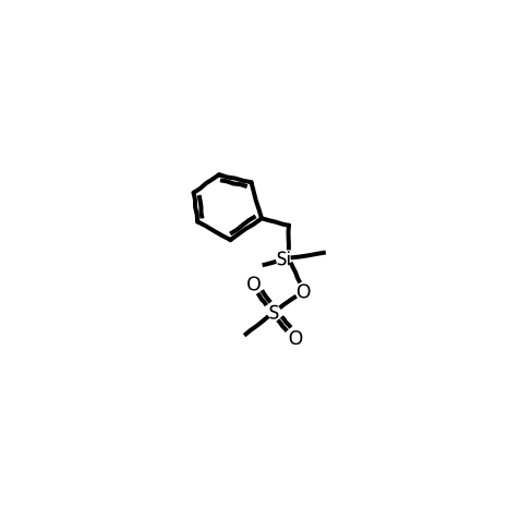 C[Si](C)(Cc1ccccc1)OS(C)(=O)=O